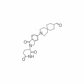 O=CC1CCC2(CC1)CCN(c1ccc3c(c1)CN(C1CCC(=O)NC1=O)C3=O)CC2